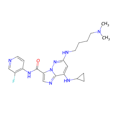 CN(C)CCCCNc1cc(NC2CC2)c2ncc(C(=O)Nc3ccncc3F)n2n1